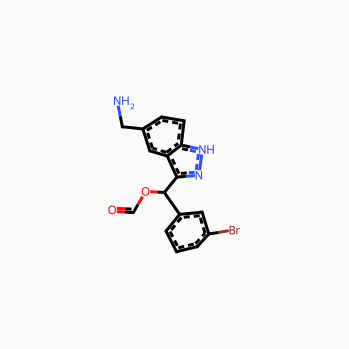 NCc1ccc2[nH]nc(C(OC=O)c3cccc(Br)c3)c2c1